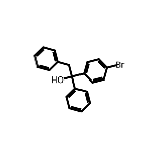 OC(Cc1ccccc1)(c1ccccc1)c1ccc(Br)cc1